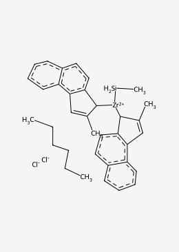 CCCCCC.C[SiH2][Zr+2]([CH]1C(C)=Cc2c1ccc1ccccc21)[CH]1C(C)=Cc2c1ccc1ccccc21.[Cl-].[Cl-]